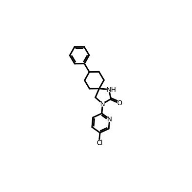 O=C1NC2(CCC(c3ccccc3)CC2)CN1c1ccc(Cl)cn1